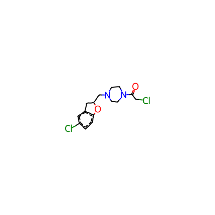 O=C(CCl)N1CCN(CC2Cc3cc(Cl)ccc3O2)CC1